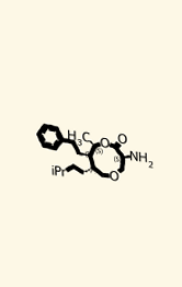 CC(C)CC[C@H]1COC[C@H](N)C(=O)O[C@@H](C)[C@@H]1CCc1ccccc1